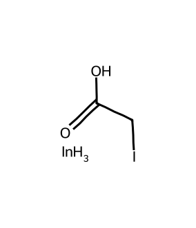 O=C(O)CI.[InH3]